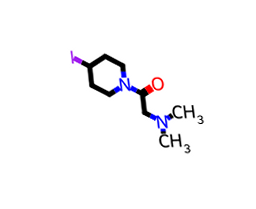 CN(C)CC(=O)N1CCC(I)CC1